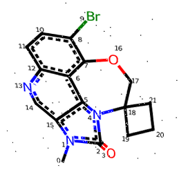 Cn1c(=O)n2c3c4c(c(Br)ccc4ncc31)OCC21CCC1